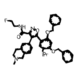 CC(C)c1cc(-c2onc(C(=O)NCCF)c2-c2ccc3c(c2)CCN(C)C3)c(OCc2ccccc2)cc1OCc1ccccc1